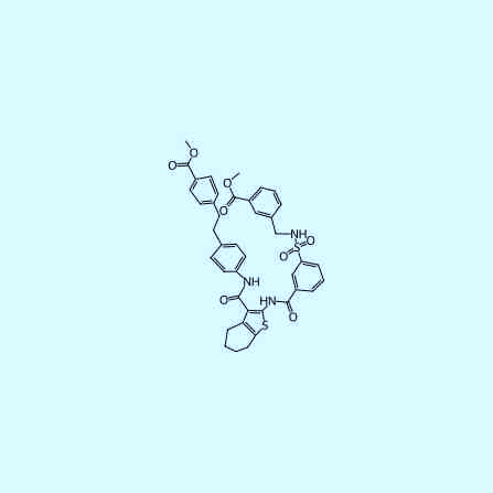 COC(=O)c1ccc(CCc2ccc(NC(=O)c3c(NC(=O)c4cccc(S(=O)(=O)NCc5cccc(C(=O)OC)c5)c4)sc4c3CCCC4)cc2)cc1